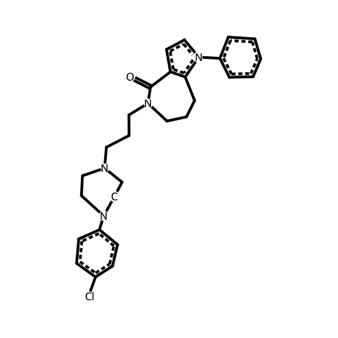 O=C1c2ccn(-c3ccccc3)c2CCCN1CCCN1CCN(c2ccc(Cl)cc2)CC1